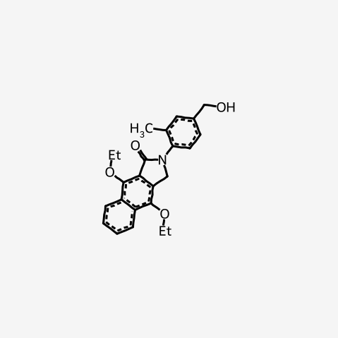 CCOc1c2c(c(OCC)c3ccccc13)C(=O)N(c1ccc(CO)cc1C)C2